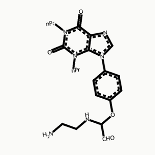 CCCn1c(=O)c2ncn(-c3ccc(OC(C=O)NCCN)cc3)c2n(CCC)c1=O